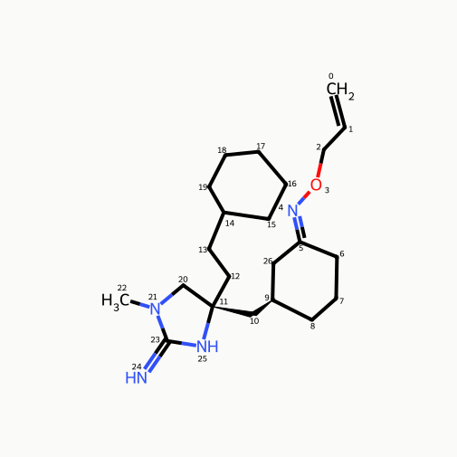 C=CCON=C1CCC[C@@H](C[C@]2(CCC3CCCCC3)CN(C)C(=N)N2)C1